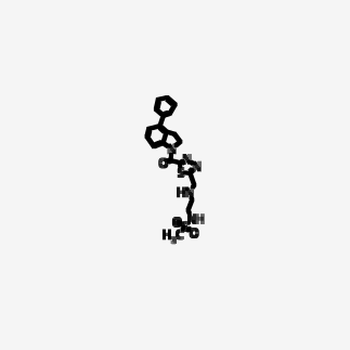 CS(=O)(=O)NCCNCc1nnc(C(=O)N2CCc3c(-c4ccccc4)cccc32)s1